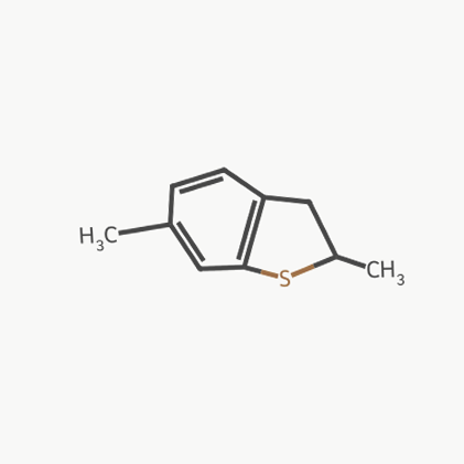 Cc1ccc2c(c1)SC(C)C2